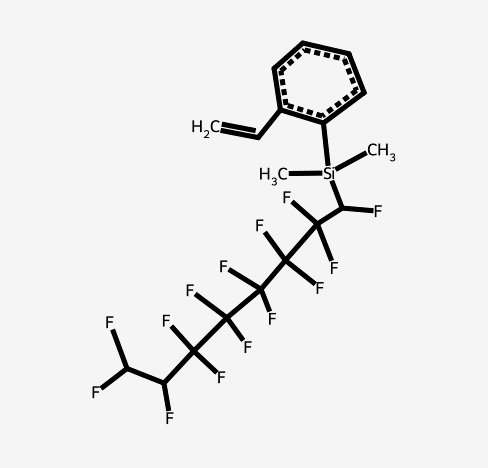 C=Cc1ccccc1[Si](C)(C)C(F)C(F)(F)C(F)(F)C(F)(F)C(F)(F)C(F)(F)C(F)C(F)F